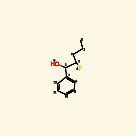 CCCC(F)C(O)c1ccccc1